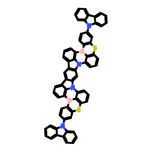 c1cc2c3c(c1)-n1c4cc5c(cc4c4cccc(c41)B3c1ccc(-n3c4ccccc4c4ccccc43)cc1S2)c1cccc2c1n5-c1cccc3c1B2c1ccc(-n2c4ccccc4c4ccccc42)cc1S3